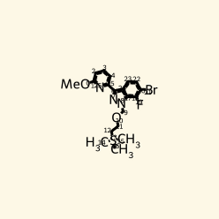 COc1cccc(-c2nn(COCCS(C)(C)C)c3c(F)c(Br)ccc23)n1